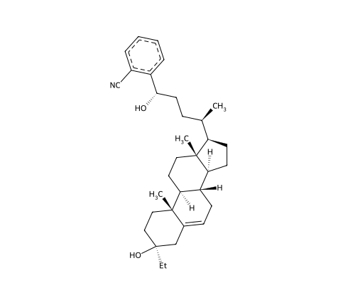 CC[C@]1(O)CC[C@@]2(C)C(=CC[C@H]3[C@@H]4CC[C@H]([C@H](C)CC[C@H](O)c5ccccc5C#N)[C@@]4(C)CC[C@@H]32)C1